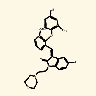 COc1cccc(C=C2C(=O)N(CCN3CCOCC3)c3ccc(F)cc32)c1Oc1ccc(C#N)cc1C(F)(F)F